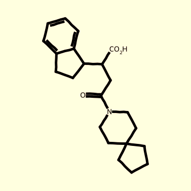 O=C(O)C(CC(=O)N1CCC2(CCCC2)CC1)C1CCc2ccccc21